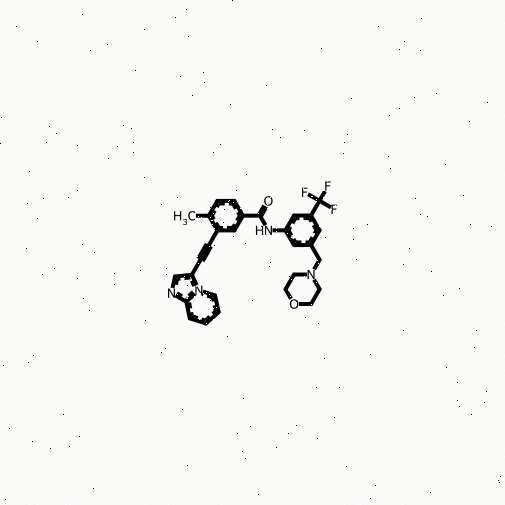 Cc1ccc(C(=O)Nc2cc(CN3CCOCC3)cc(C(F)(F)F)c2)cc1C#Cc1cnc2ccccn12